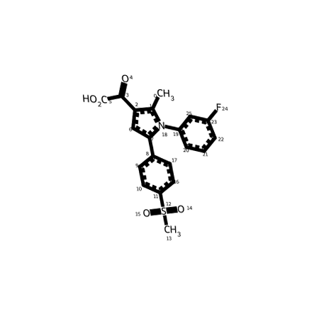 Cc1c(C(=O)C(=O)O)cc(-c2ccc(S(C)(=O)=O)cc2)n1-c1cccc(F)c1